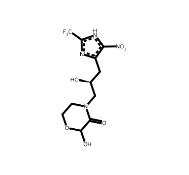 O=C1C(O)OCCN1C[C@@H](O)Cc1nc(C(F)(F)F)[nH]c1[N+](=O)[O-]